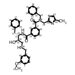 COc1cccc(CNC[C@@H](O)[C@H](Cc2ccccc2)NC(=O)c2cccc(C(=O)N(Cc3ccccc3)Cc3nc(C)cs3)c2)c1